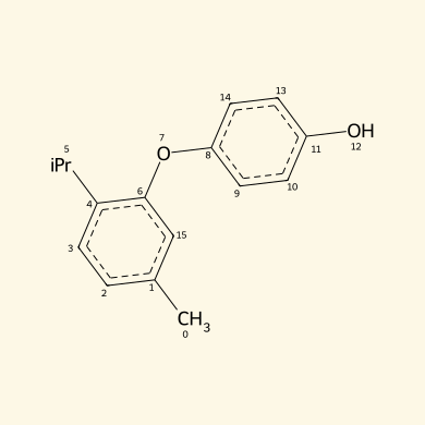 Cc1ccc(C(C)C)c(Oc2ccc(O)cc2)c1